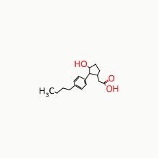 CCCCc1ccc(C2C(O)CCC2CC(=O)O)cc1